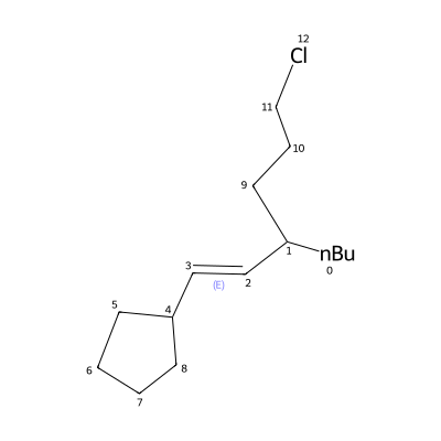 CCCCC(/C=C/C1CCCC1)CCCCl